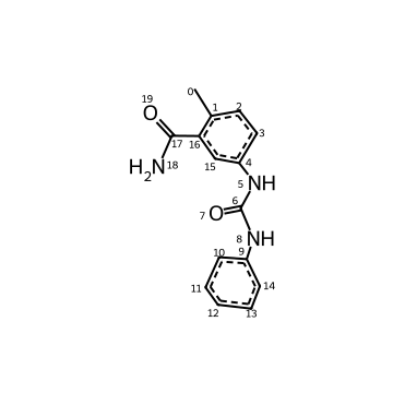 Cc1ccc(NC(=O)Nc2ccccc2)cc1C(N)=O